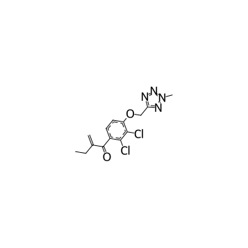 C=C(CC)C(=O)c1ccc(OCc2nnn(C)n2)c(Cl)c1Cl